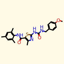 COc1ccc(CNC(=O)Nc2nc(C)c(C(=O)Nc3c(C)cc(C)cc3C)s2)cc1